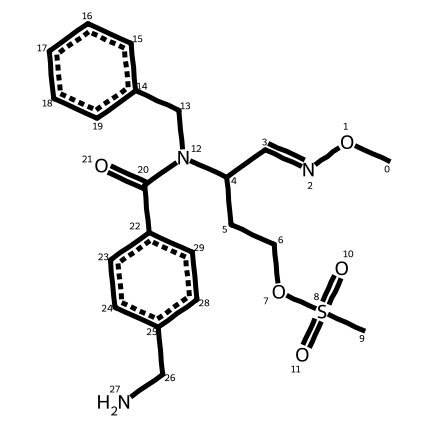 CON=CC(CCOS(C)(=O)=O)N(Cc1ccccc1)C(=O)c1ccc(CN)cc1